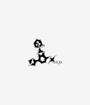 CCOC(=O)C(F)(F)Oc1ccc(-c2cscn2)c2oc(N3CC4CC(C3)N4C(=O)O)nc12